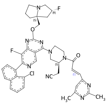 Cc1cc(/C=C/C(=O)N2CCN(c3nc(OC[C@@]45CCCN4C[C@H](F)C5)nc4c(F)c(-c5cccc6cccc(Cl)c56)ncc34)C[C@@H]2CC#N)nc(C)n1